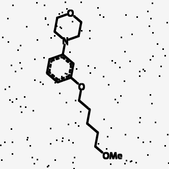 COCCCCCOc1cccc(N2CCOCC2)c1